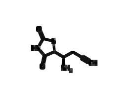 C#CC[C@@H](N)C1SC(=O)NC1=O